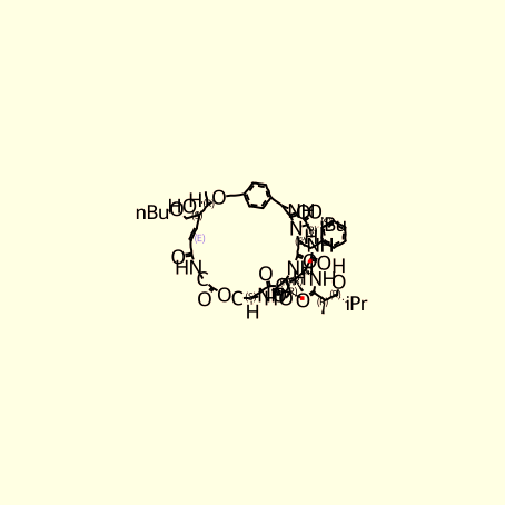 CCCCOC[C@@]1(O)/C=C/C(=O)NCC(=O)OC[C@@H]2NC(=O)[C@@H]([C@@H](C)O)NC(=O)[C@H](Cc3ccccc3)N(C)C(=O)C(NC(=O)[C@@H]([C@@H](C)CC)NC(=O)[C@@H](NC(=O)[C@H](C)[C@H](O)C(C)C)[C@@H](C)OC2=O)c2ccc(cc2)O[C@@H]1C